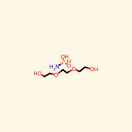 NP(O)O.OCCOCCOCCO